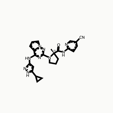 C[C@@]1(C(=O)Nc2ccc(C#N)cn2)CCCN1c1nc(Nc2cc(C3CC3)[nH]n2)c2cccn2n1